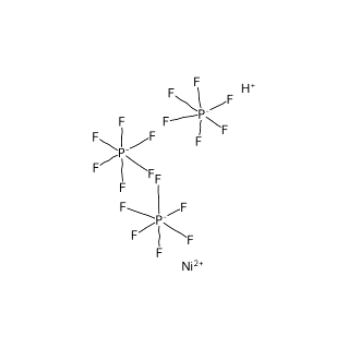 F[P-](F)(F)(F)(F)F.F[P-](F)(F)(F)(F)F.F[P-](F)(F)(F)(F)F.[H+].[Ni+2]